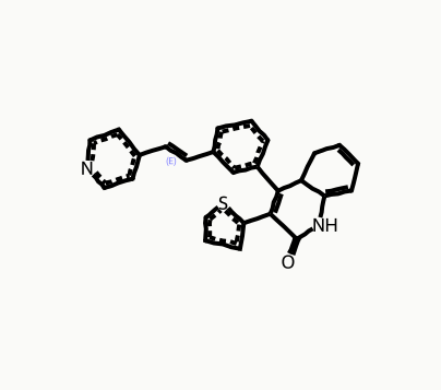 O=C1NC2=CC=CCC2C(c2cccc(/C=C/c3ccncc3)c2)=C1c1cccs1